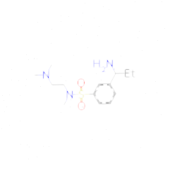 CCC(N)c1cccc(S(=O)(=O)N(C)CCN(C)C)c1